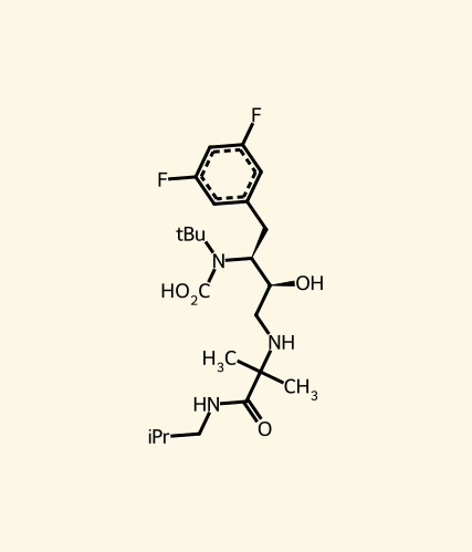 CC(C)CNC(=O)C(C)(C)NC[C@H](O)[C@H](Cc1cc(F)cc(F)c1)N(C(=O)O)C(C)(C)C